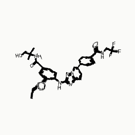 CCOc1cc(C(=O)NC(C)(C)CO)ccc1Nc1nc2ccc(-c3ccc(C(=O)NCC(F)(F)F)cc3)cn2n1